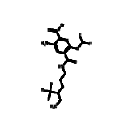 CCC(CCCNC(=O)c1cc(N)c([N+](=O)[O-])cc1OC(F)F)C(F)(F)F